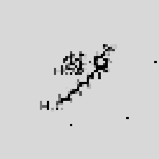 CCCCCCCCOc1ccc(SI)cc1.O=S(=O)(O)C(F)(F)F